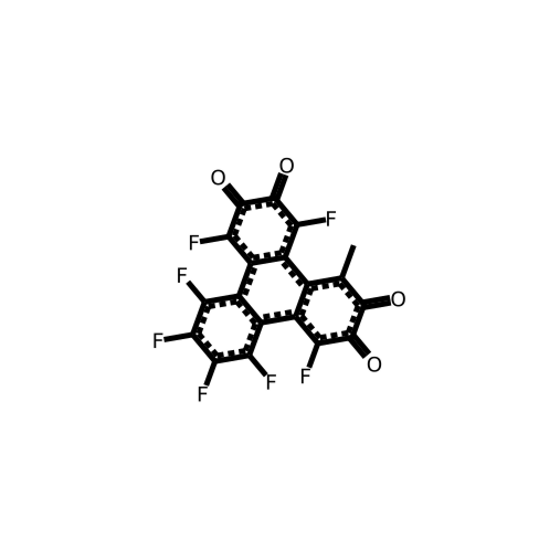 Cc1c(=O)c(=O)c(F)c2c3c(F)c(F)c(F)c(F)c3c3c(F)c(=O)c(=O)c(F)c3c12